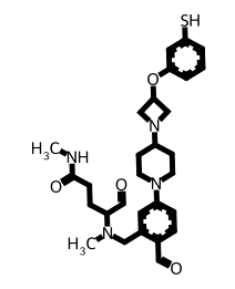 CNC(=O)CCC(C=O)N(C)Cc1cc(N2CCC(N3CC(Oc4cccc(S)c4)C3)CC2)ccc1C=O